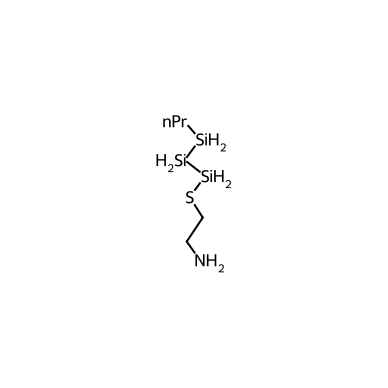 CCC[SiH2][SiH2][SiH2]SCCN